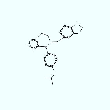 CC(C)Oc1ccc(C2c3nnnn3CCN2Cc2ccc3c(c2)OCO3)cc1